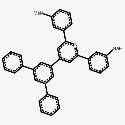 CNc1cccc(-c2cc(-c3cc(-c4ccccc4)cc(-c4ccccc4)c3)cc(-c3cccc(NC)c3)n2)c1